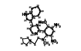 COc1c(N)cc([N+](=O)[O-])c(N(C)CCN2CCCC2)c1-c1nccc(-c2c[nH]c3ccccc23)n1